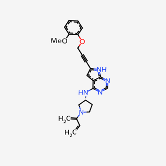 C=CC(=C)N1CC[C@@H](Nc2ncnc3[nH]c(C#CCOc4ccccc4OC)cc23)C1